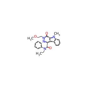 CCN(C(=O)c1nn(CCOC)c(=O)c2c1c1ccccc1n2C)c1ccccc1